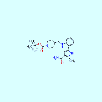 Cc1[nH]c(-c2ccccc2NCC2CCN(C(=O)OC(C)(C)C)CC2)cc1C(N)=O